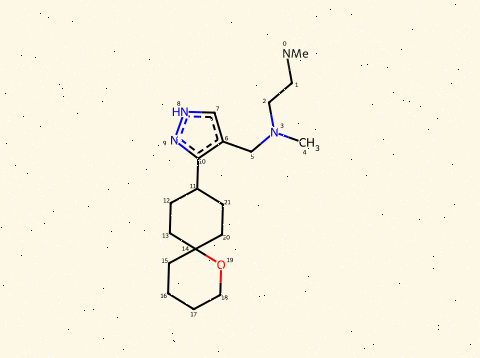 CNCCN(C)Cc1c[nH]nc1C1CCC2(CCCCO2)CC1